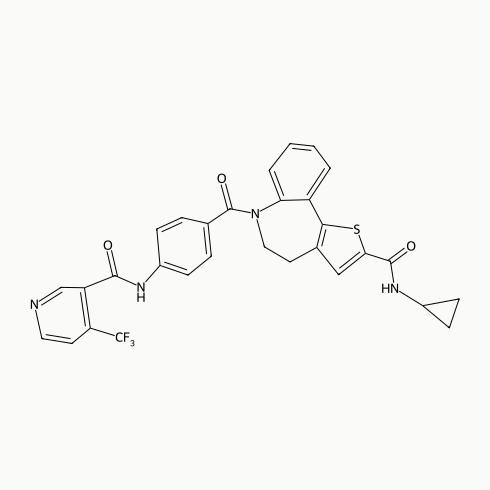 O=C(NC1CC1)c1cc2c(s1)-c1ccccc1N(C(=O)c1ccc(NC(=O)c3cnccc3C(F)(F)F)cc1)CC2